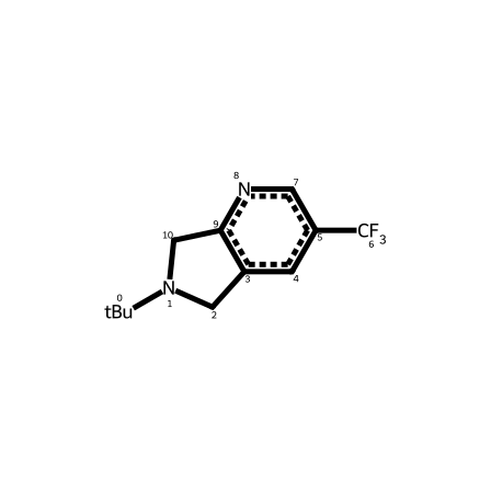 CC(C)(C)N1Cc2cc(C(F)(F)F)cnc2C1